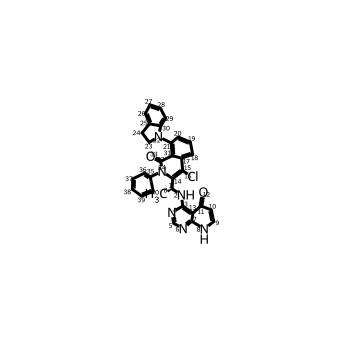 C[C@H](Nc1ncnc2[nH]ccc(=O)c12)c1c(Cl)c2cccc(N3CCc4ccccc43)c2c(=O)n1-c1ccccc1